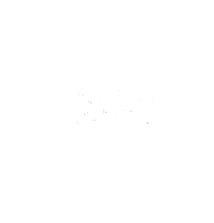 CCOc1ccccc1C1(C)C(=O)N(CC(=O)c2ccccc2)C(=O)N1CC